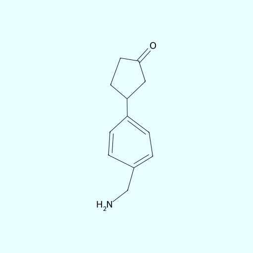 NCc1ccc(C2CCC(=O)C2)cc1